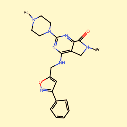 CC(=O)N1CCN(c2nc(NCc3cc(-c4ccccc4)no3)c3c(n2)C(=O)N(C(C)C)C3)CC1